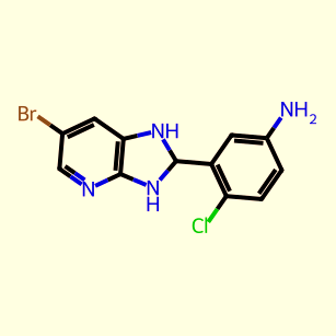 Nc1ccc(Cl)c(C2Nc3cc(Br)cnc3N2)c1